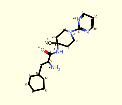 N#CC1(NC(=O)C(N)CC2CCCCC2)CCN(c2ncccn2)CC1